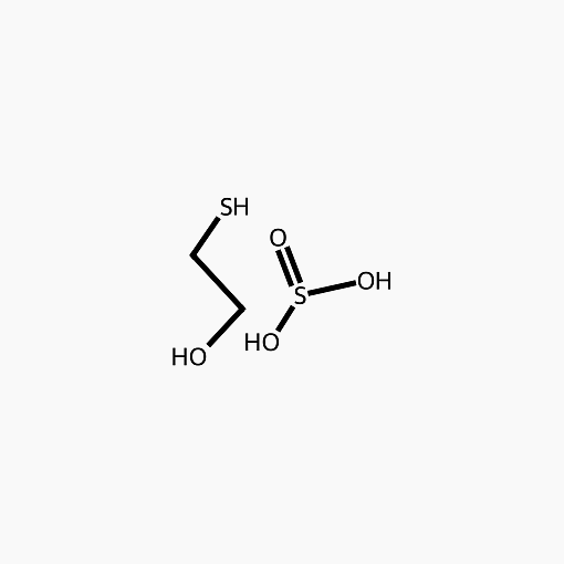 O=S(O)O.OCCS